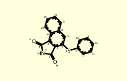 O=C1NC(=O)c2c1c(Sc1ccccc1)cc1ccccc21